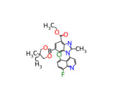 CCOC(=O)c1cc(B2OCC(C)(C)CO2)cc2c1nc(C)n2-c1ccnc2c(F)ccc(Cl)c12